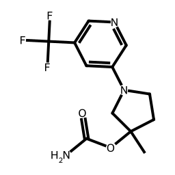 CC1(OC(N)=O)CCN(c2cncc(C(F)(F)F)c2)C1